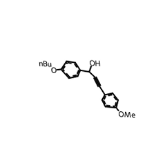 CCCCOc1ccc(C(O)C#Cc2ccc(OC)cc2)cc1